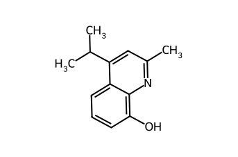 Cc1cc(C(C)C)c2cccc(O)c2n1